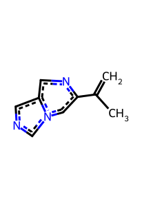 C=C(C)c1cn2cncc2cn1